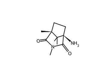 CN1C(=O)[C@]2(C)CC[C@](N)(C1=O)C2(C)C